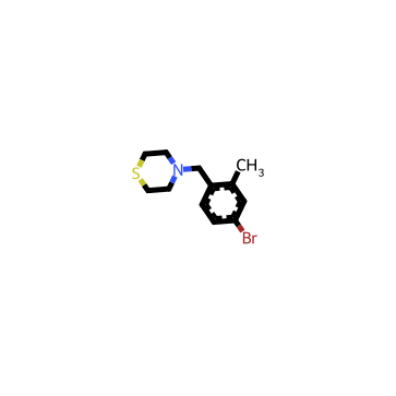 Cc1cc(Br)ccc1CN1CCSCC1